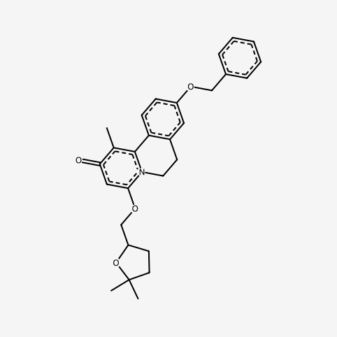 Cc1c2n(c(OCC3CCC(C)(C)O3)cc1=O)CCc1cc(OCc3ccccc3)ccc1-2